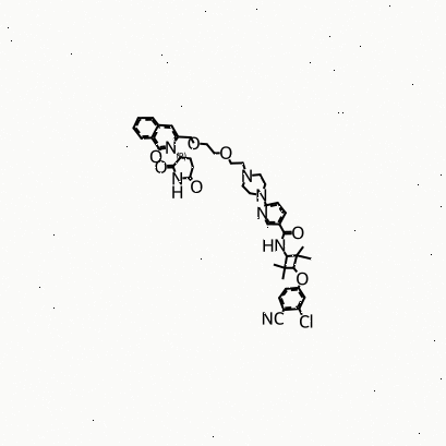 CC1(C)C(NC(=O)c2ccc(N3CCN(CCOCCOCc4cc5ccccc5c(=O)n4[C@@H]4CCC(=O)NC4=O)CC3)nc2)C(C)(C)C1Oc1ccc(C#N)c(Cl)c1